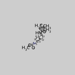 COC(=O)/C=C/c1ccc2c(c1)CCC2NC(=O)OC(C)(C)C